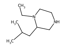 CCN1CCNCC1CC(C)C